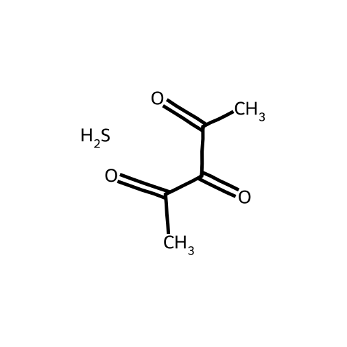 CC(=O)C(=O)C(C)=O.S